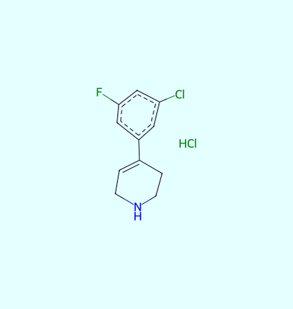 Cl.Fc1cc(Cl)cc(C2=CCNCC2)c1